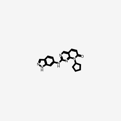 O=c1ccc2cnc(Nc3ccc4cn[nH]c4c3)nc2n1C1CCCC1